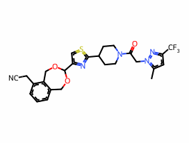 Cc1cc(C(F)(F)F)nn1CC(=O)N1CCC(c2nc(C3OCc4cccc(CC#N)c4CO3)cs2)CC1